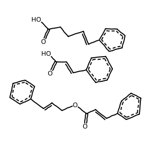 O=C(/C=C/c1ccccc1)OC/C=C/c1ccccc1.O=C(O)C=Cc1ccccc1.O=C(O)CC/C=C/c1ccccc1